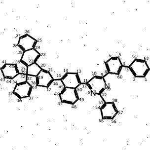 c1ccc(-c2cccc(-c3cc(-c4ccc(-c5ccc6c(c5)-c5cc7ccccc7cc5C6(c5ccccc5)c5ccccc5)c5ccccc45)nc(-c4ccccc4)n3)c2)cc1